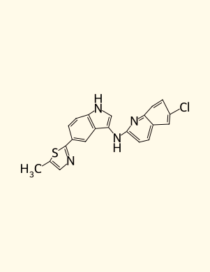 Cc1cnc(-c2ccc3[nH]cc(Nc4ccc5cc(Cl)ccc5n4)c3c2)s1